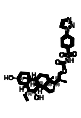 CC[C@H]1[C@@H](O)[C@@H]2[C@H](CC[C@]3(C)[C@@H]([C@H](C)COC(=O)NS(=O)(=O)c4ccc(-n5ccnn5)cc4)CC[C@@H]23)[C@@]2(C)CC[C@@H](O)C[C@@H]12